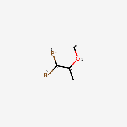 COC(C)C(Br)Br